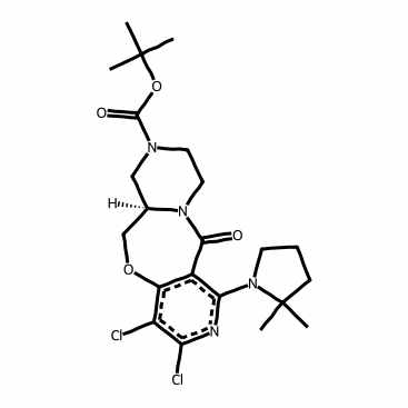 CC(C)(C)OC(=O)N1CCN2C(=O)c3c(N4CCCC4(C)C)nc(Cl)c(Cl)c3OC[C@H]2C1